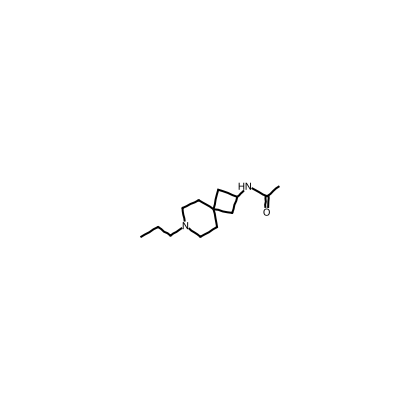 CCCN1CCC2(CC1)CC(NC(C)=O)C2